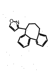 c1ccc2c(c1)CCCC(c1ccon1)c1ccccc1-2